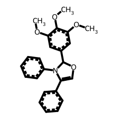 COc1cc(C2OC=C(c3ccccc3)N2c2ccccc2)cc(OC)c1OC